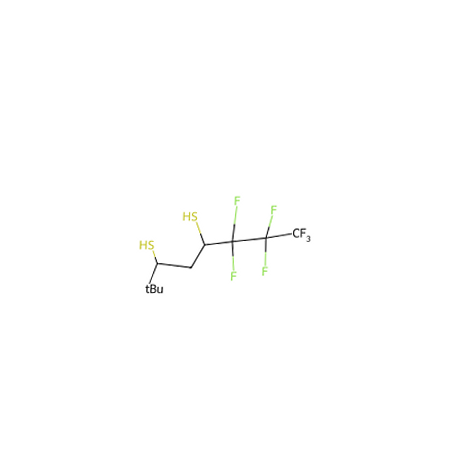 CC(C)(C)C(S)CC(S)C(F)(F)C(F)(F)C(F)(F)F